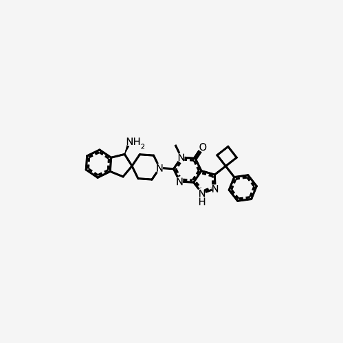 Cn1c(N2CCC3(CC2)Cc2ccccc2[C@H]3N)nc2[nH]nc(C3(c4ccccc4)CCC3)c2c1=O